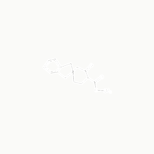 COC(=O)C1CCC2(CC1=O)Cc1ccccc1C2